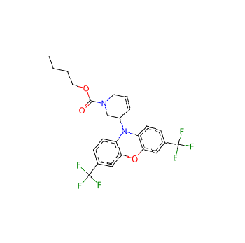 CCCCOC(=O)N1CC=CC(N2c3ccc(C(F)(F)F)cc3Oc3cc(C(F)(F)F)ccc32)C1